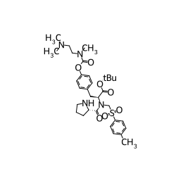 Cc1ccc(S(=O)(=O)CN(C(=O)[C@@H]2CCCN2)[C@@H](Cc2ccc(OC(=O)N(C)CCN(C)C)cc2)C(=O)OC(C)(C)C)cc1